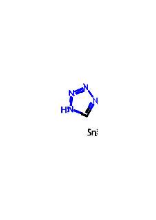 [Sn].c1nnn[nH]1